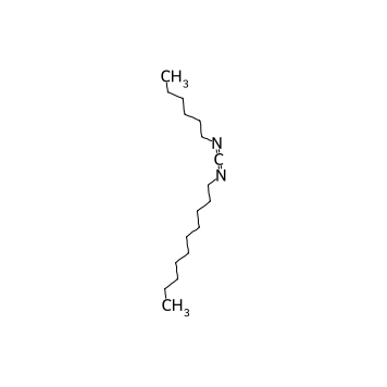 CCCCCCCCCCN=C=NCCCCCC